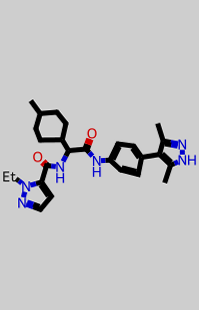 CCn1nccc1C(=O)NC(C(=O)Nc1ccc(-c2c(C)n[nH]c2C)cc1)C1CCC(C)CC1